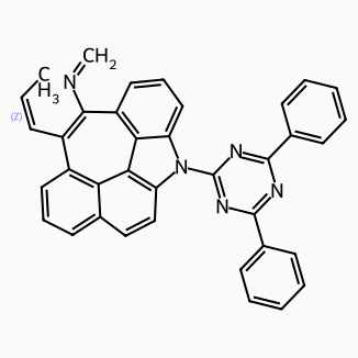 C=NC1=C(/C=C\C)c2cccc3ccc4c(c23)c2c1cccc2n4-c1nc(-c2ccccc2)nc(-c2ccccc2)n1